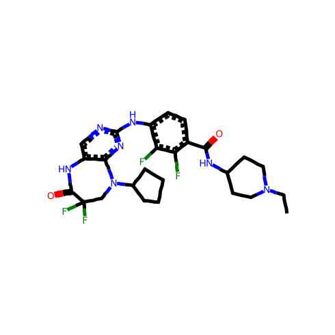 CCN1CCC(NC(=O)c2ccc(Nc3ncc4c(n3)N(C3CCCC3)CC(F)(F)C(=O)N4)c(F)c2F)CC1